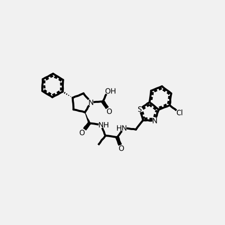 CC(NC(=O)[C@H]1C[C@H](c2ccccc2)CN1C(=O)O)C(=O)NCc1nc2c(Cl)cccc2s1